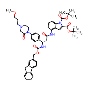 COCCCN1CCN(c2ccc([C@H](CC(=O)Nc3cccc4c3cc(C(=O)OC(C)(C)C)n4C(=O)OC(C)(C)C)NC(=O)OCc3ccc4c(c3)Cc3ccccc3-4)cc2)C(=O)C1